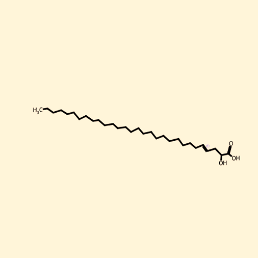 CCCCCCCCCCCCCCCCCCCCCCCCC/C=C/CC(O)C(=O)O